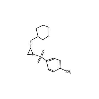 Cc1ccc(S(=O)(=O)N2C[C@@H]2CC2CCCCC2)cc1